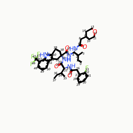 CCC(C)[C@@H](NC(=O)CC1CCOCC1)NC(=O)[C@@]1(NC(=O)[C@@H](NC(=O)Cc2ccccc2F)C(C)CC)CCc2[nH]c3c(C(F)(F)F)cccc3c2C1